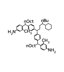 CCCCCCCCC(c1ccc(C(CCC(CCCC)C2CCCCC2)c2ccc(C(CCCCCCCC)c3ccc(N)cc3C)cc2)cc1)c1ccc(N)cc1C